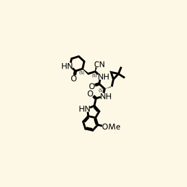 COc1cccc2[nH]c(C(=O)N[C@@H](CC3CC3(C)C)C(=O)N[C@H](C#N)C[C@@H]3CCCNC3=O)cc12